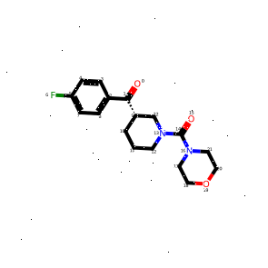 O=C(c1ccc(F)cc1)[C@H]1CCCN(C(=O)N2CCOCC2)C1